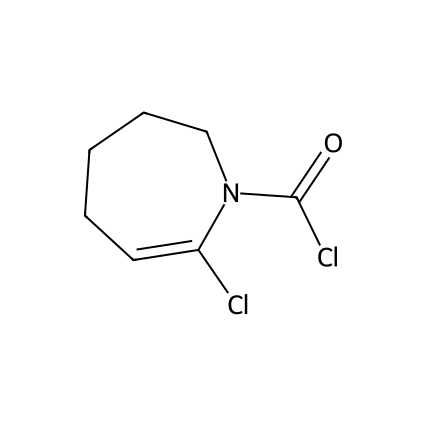 O=C(Cl)N1CCCCC=C1Cl